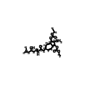 CCOC(=O)Oc1c2ccc(CC(=O)NOCC(O)CN(C)C)ccc-2c(OC(=O)OCC)c1N